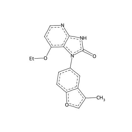 CCOc1ccnc2[nH]c(=O)n(-c3ccc4occ(C)c4c3)c12